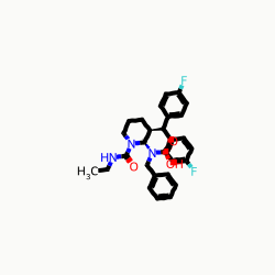 CCNC(=O)N1CCC[C@@H](C(c2ccc(F)cc2)c2ccc(F)cc2)[C@H]1N(Cc1ccccc1)C(=O)O